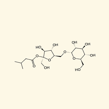 CC(C)CC(=O)O[C@]1(CO)O[C@H](CO[C@H]2O[C@H](CO)[C@@H](O)[C@H](O)[C@H]2O)[C@@H](O)[C@@H]1O